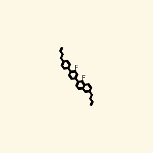 C=CCCc1ccc(-c2ccc(-c3ccc4cc(CCC=C)ccc4c3F)cc2F)cc1